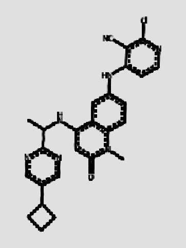 CC(Nc1cc(=O)n(C)c2ccc(Nc3ccnc(Cl)c3C#N)cc12)c1ncc(C2CCC2)cn1